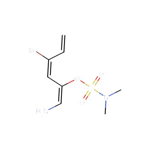 C=C/C(Br)=C\C(=C/N)OS(=O)(=O)N(C)C